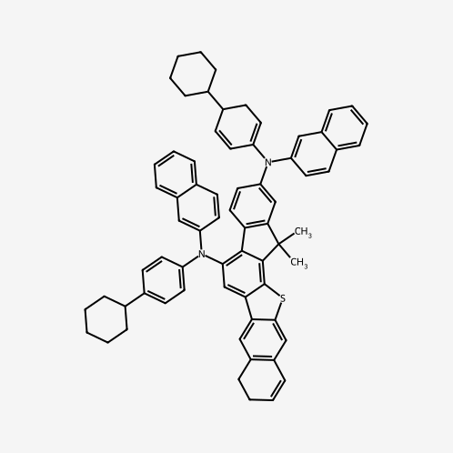 CC1(C)c2cc(N(C3=CCC(C4CCCCC4)C=C3)c3ccc4ccccc4c3)ccc2-c2c(N(c3ccc(C4CCCCC4)cc3)c3ccc4ccccc4c3)cc3c(sc4cc5c(cc43)CCC=C5)c21